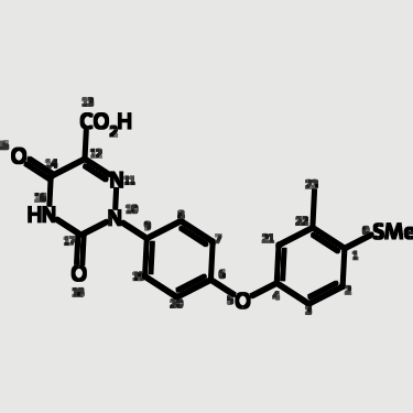 CSc1ccc(Oc2ccc(-n3nc(C(=O)O)c(=O)[nH]c3=O)cc2)cc1C